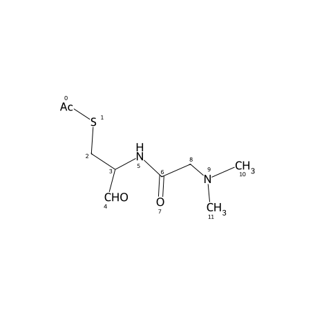 CC(=O)SCC(C=O)NC(=O)CN(C)C